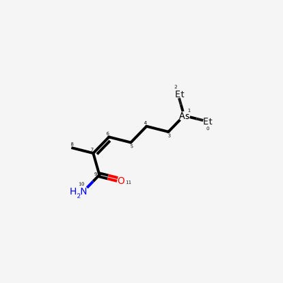 CC[As](CC)CCCC=C(C)C(N)=O